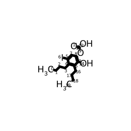 CCCCc1c(I)cc(OC(=O)O)c(O)c1CCCC